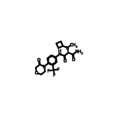 CN(C1CCC1)[C@@H](C(N)=O)C(=O)Nc1ccc(N2CCOCC2=O)c(C(F)(F)F)c1